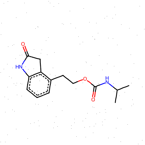 CC(C)NC(=O)OCCc1cccc2c1CC(=O)N2